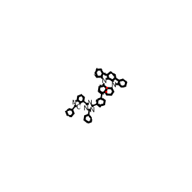 c1ccc(-c2nc(-c3cccc(-c4ccc(-n5c6ccccc6c6ccc7c8ccccc8n(-c8ccccc8)c7c65)cc4)c3)nc(-c3cccc4nc(-c5ccccc5)oc34)n2)cc1